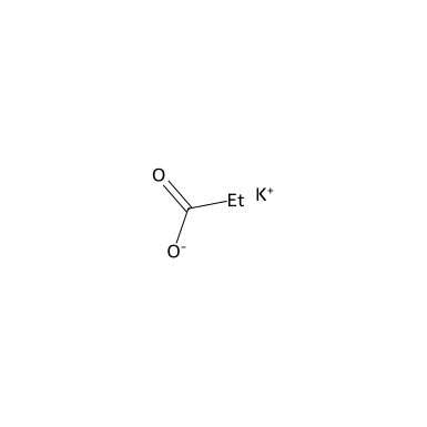 CCC(=O)[O-].[K+]